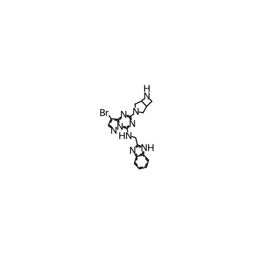 Brc1cnn2c(NCc3nc4ccccc4[nH]3)nc(N3CC4CNC4C3)nc12